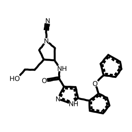 N#CN1CC(CCO)C(NC(=O)c2cc(-c3ccccc3Oc3ccccc3)[nH]n2)C1